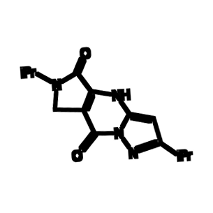 CC(C)c1cc2[nH]c3c(c(=O)n2n1)CN(C(C)C)C3=O